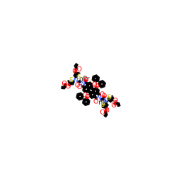 C=CC(=O)Oc1csc(N(C(=O)C(CCC)N2C(=O)c3cc(Oc4ccccc4)c4c5c(Oc6ccccc6)cc6c7c(cc(Oc8ccccc8)c(c8c(Oc9ccccc9)cc(c3c48)C2=O)c75)C(=O)N(C(CCC)C(=O)N(c2cc(OC(=O)C=C)cs2)c2cc(OC(=O)C=C)cs2)C6=O)c2cc(OC(=O)C=C)cs2)c1